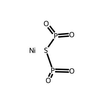 O=P(=O)SP(=O)=O.[Ni]